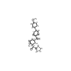 COc1ccc(-c2cnc(Nc3cnc(C)c(C(=O)N4CCCC4)c3)nc2)cc1